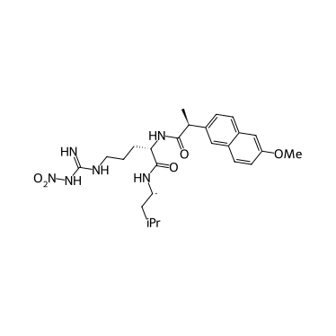 COc1ccc2cc([C@H](C)C(=O)N[C@@H](CCCNC(=N)N[N+](=O)[O-])C(=O)N[CH]CC(C)C)ccc2c1